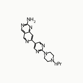 CCCN1CCN(c2ncc(-c3cc4nc(N)ncc4cn3)cn2)CC1